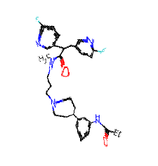 CCC(=O)Nc1cccc(C2CCN(CCCN(C)C(=O)C(c3ccc(F)nc3)c3ccc(F)nc3)CC2)c1